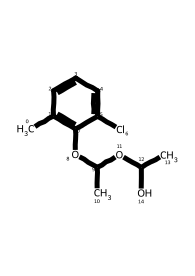 Cc1cccc(Cl)c1OC(C)OC(C)O